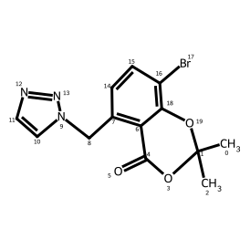 CC1(C)OC(=O)c2c(Cn3ccnn3)ccc(Br)c2O1